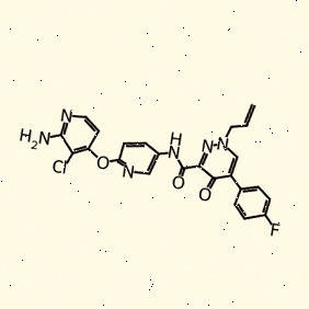 C=CCn1cc(-c2ccc(F)cc2)c(=O)c(C(=O)Nc2ccc(Oc3ccnc(N)c3Cl)nc2)n1